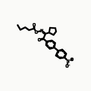 CCCCC(=O)O/N=C(\C(=O)c1ccc(-c2ccc([N+](=O)[O-])cc2)cc1)C1CCCC1